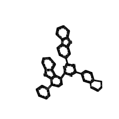 C1=Cc2cc(-c3nc(-c4ccc5c(c4)oc4ccccc45)nc(-c4ccc(-c5ccccc5)c5oc6ccccc6c45)n3)ccc2CC1